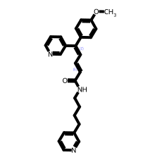 COc1ccc(/C(=C/C=C/C(=O)NCCCCc2cccnc2)c2cccnc2)cc1